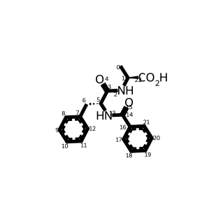 C[C@H](NC(=O)[C@@H](Cc1ccccc1)NC(=O)c1ccccc1)C(=O)O